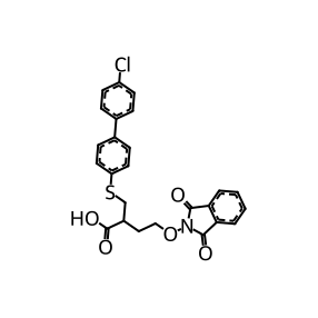 O=C(O)C(CCON1C(=O)c2ccccc2C1=O)CSc1ccc(-c2ccc(Cl)cc2)cc1